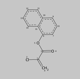 C=C(Cl)C(=O)Oc1cccc2ccccc12